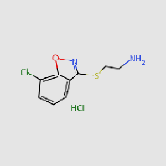 Cl.NCCSc1noc2c(Cl)cccc12